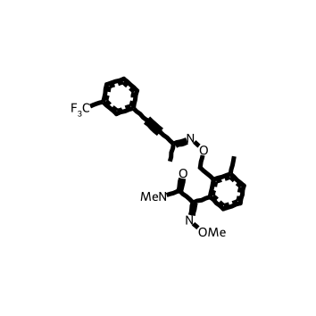 CNC(=O)/C(=N/OC)c1cccc(C)c1CO/N=C(\C)C#Cc1cccc(C(F)(F)F)c1